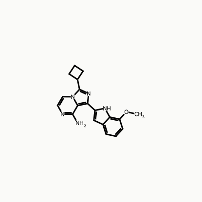 COc1cccc2cc(-c3nc(C4CCC4)n4ccnc(N)c34)[nH]c12